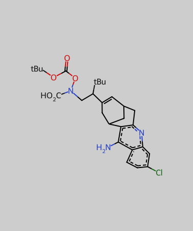 CC(C)(C)OC(=O)ON(CC(C1=CC2Cc3nc4cc(Cl)ccc4c(N)c3C(C1)C2)C(C)(C)C)C(=O)O